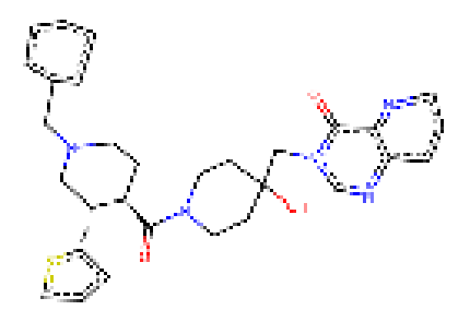 O=C([C@@H]1CCN(Cc2ccccc2)C[C@H]1c1cccs1)N1CCC(O)(Cn2cnc3cccnc3c2=O)CC1